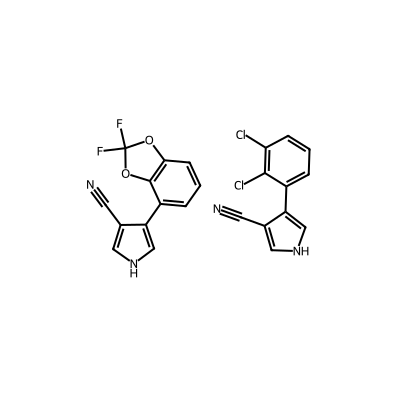 N#Cc1c[nH]cc1-c1cccc(Cl)c1Cl.N#Cc1c[nH]cc1-c1cccc2c1OC(F)(F)O2